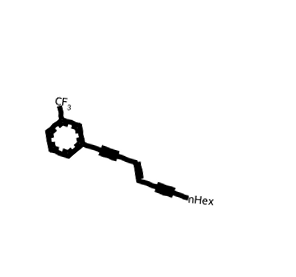 CCCCCCC#CC=CC#Cc1cccc(C(F)(F)F)c1